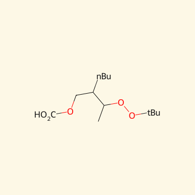 CCCCC(COC(=O)O)C(C)OOC(C)(C)C